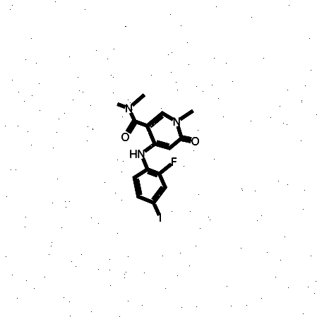 CN(C)C(=O)c1cn(C)c(=O)cc1Nc1ccc(I)cc1F